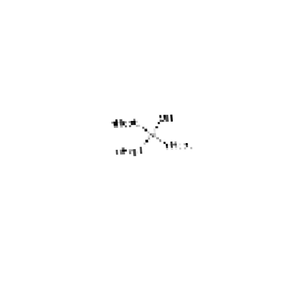 CCCCCCC[Si](O)(CCCCCCC)CCCCCCC